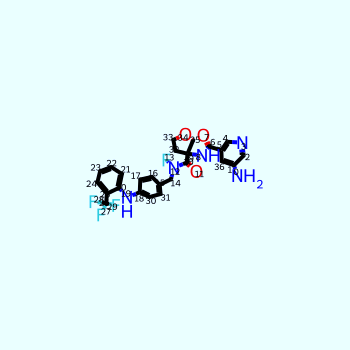 Nc1cncc(C(=O)NC2(C(=O)N(F)Cc3ccc(Nc4ccccc4C(F)(F)F)cc3)CCOC2)c1